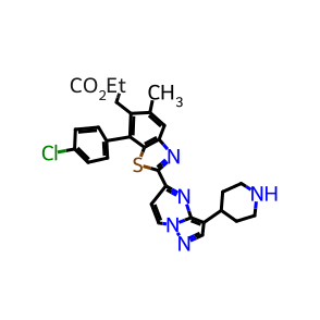 CCOC(=O)Cc1c(C)cc2nc(-c3ccn4ncc(C5CCNCC5)c4n3)sc2c1-c1ccc(Cl)cc1